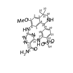 COc1cc2c(cc1Nc1nnc(C(N)=O)c(Nc3ccccc3S(C)(=O)=O)n1)CNCC2(C)C